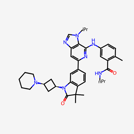 CCCNC(=O)c1cc(Nc2nc(-c3ccc4c(c3)N([C@H]3C[C@@H](N5CCCCC5)C3)C(=O)C4(C)C)cc3ncn(C(C)C)c23)ccc1C